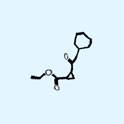 CCOC(=O)C1CC1C(=O)CC1CCCCC1